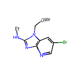 CCNc1nc2ncc(Br)cc2n1COC